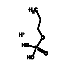 [CH2]CCOP(=O)(O)O.[H+]